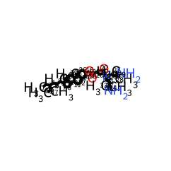 CCC(CCCC1CCC2C3CC=C4CC(OC(=O)CCC(=O)N(CCC(C)(C)N)CCC(C)(C)N)CCC4(C)C3CCC12C)C(C)C